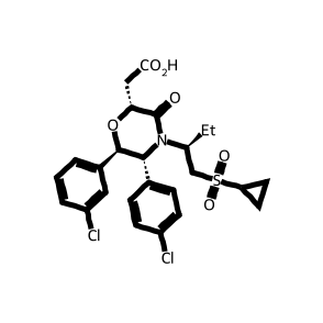 CC[C@@H](CS(=O)(=O)C1CC1)N1C(=O)[C@@H](CC(=O)O)O[C@H](c2cccc(Cl)c2)[C@H]1c1ccc(Cl)cc1